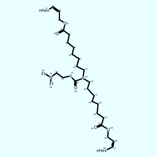 CCCCCC/C=C\COC(=O)CCCCCCCN(CCCCCCCC(=O)OC/C=C\CCCCCC)C(=O)SCCN(CC)CC